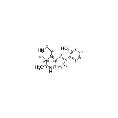 C[C@@H]1Nc2nnc(-c3ccccc3O)cc2N2CCNC[C@@H]12